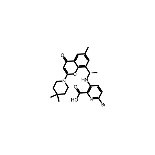 Cc1cc([C@@H](C)Nc2ccc(Br)nc2C(=O)O)c2oc(N3CCC(C)(C)CC3)cc(=O)c2c1